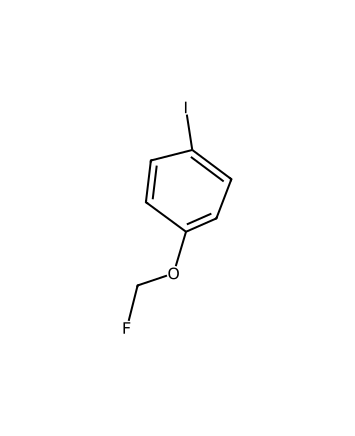 FCOc1ccc(I)cc1